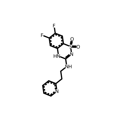 O=S1(=O)N=C(NCCc2ccccn2)Nc2cc(F)c(F)cc21